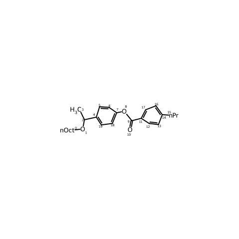 CCCCCCCCOC(C)c1ccc(OC(=O)c2ccc(CCC)cc2)cc1